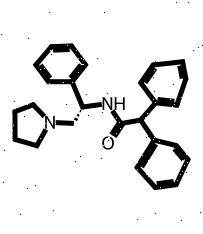 O=C(N[C@H](CN1CCCC1)c1ccccc1)C(c1ccccc1)c1ccccc1